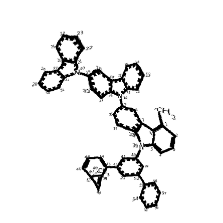 CC1C=CC=C2C1c1cc(-n3c4ccccc4c4cc(-n5c6ccccc6c6ccccc65)ccc43)ccc1N2c1cc(C2=CC=C[C@]3(C)C=C23)cc(-c2ccccc2)c1